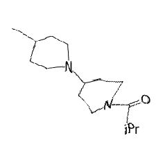 CC1CCN(C2CCN(C(=O)C(C)C)CC2)CC1